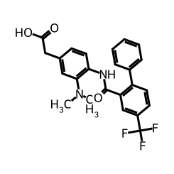 CN(C)c1cc(CC(=O)O)ccc1NC(=O)c1cc(C(F)(F)F)ccc1-c1ccccc1